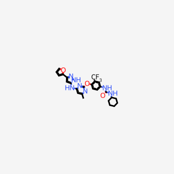 Cc1cc(Nc2cc(-c3ccco3)n[nH]2)nc(Oc2ccc(NC(=O)NC3CCCCC3)cc2C(F)(F)F)n1